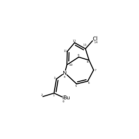 CCC(C)/C(C)=C\N1C=CCC2CC1=CC=C2Cl